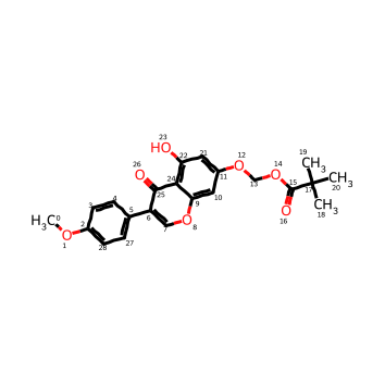 COc1ccc(-c2coc3cc(OCOC(=O)C(C)(C)C)cc(O)c3c2=O)cc1